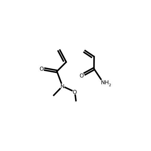 C=CC(=O)N(C)OC.C=CC(N)=O